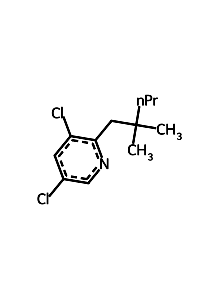 CCCC(C)(C)Cc1ncc(Cl)cc1Cl